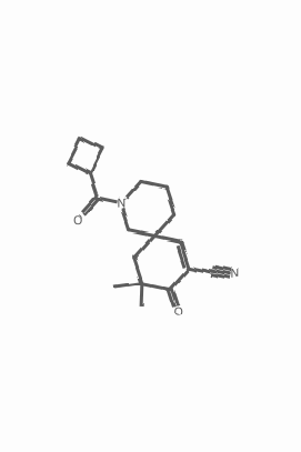 CC1(C)CC2(C=C(C#N)C1=O)CCCN(C(=O)C1CCC1)C2